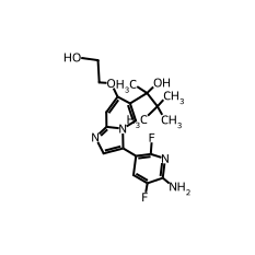 CC(C)(C)C(C)(O)c1cn2c(-c3cc(F)c(N)nc3F)cnc2cc1OCCO